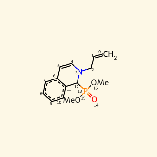 C=CCN1C=Cc2ccccc2C1P(=O)(OC)OC